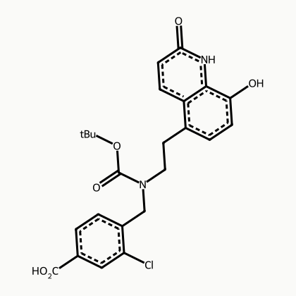 CC(C)(C)OC(=O)N(CCc1ccc(O)c2[nH]c(=O)ccc12)Cc1ccc(C(=O)O)cc1Cl